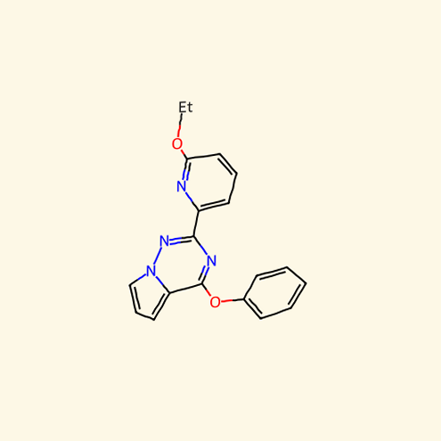 CCOc1cccc(-c2nc(Oc3ccccc3)c3cccn3n2)n1